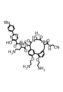 CC1NC(=O)C(N(C)C(=O)C(CCN)NC(=O)c2cnc(-c3ccc(C(C)(C)C)cc3)nc2O)c2ccc(OCCN)c(c2)-c2cc(ccc2OCCN)CC(C(=O)NCC#N)NC1=O